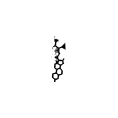 CC1CCC2C(CCC3C2CCC2(C)C(C(=O)CN4N=CC(C#N)C4C4CC4)C(C)[C@@H](C)C32)C1